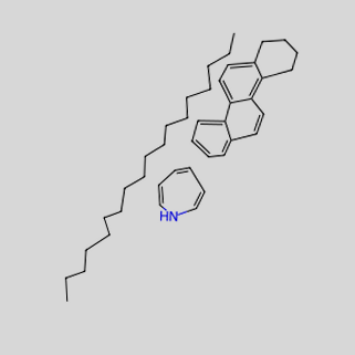 C1=CC=CNC=C1.CCCCCCCCCCCCCCCCCC.c1ccc2c(c1)ccc1c3c(ccc12)CCCC3